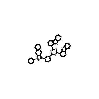 c1ccc(-n2nc(-c3cccc(-c4nc(-c5cccc6c5sc5ccccc56)nc(-c5cccc6c5sc5ccccc56)n4)c3)c3cc4ccccc4cc32)cc1